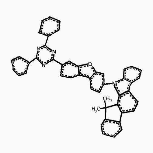 CC1(C)c2ccccc2-c2ccc3c4ccccc4n(-c4ccc5c(c4)oc4cc(-c6nc(-c7ccccc7)nc(-c7ccccc7)n6)ccc45)c3c21